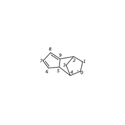 [CH]1CC2CC1C1C=CC=C21